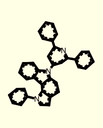 c1ccc(-c2cc(-n3c4ccccc4c4c5c(ccc43)ccn5-c3ccccc3)cc(-c3ccccc3)n2)cc1